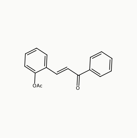 CC(=O)Oc1ccccc1C=CC(=O)c1ccccc1